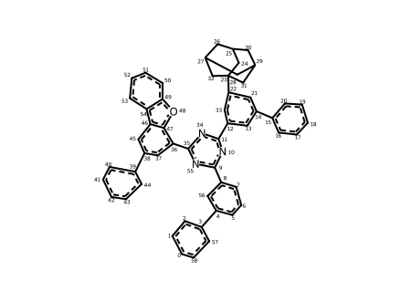 c1ccc(-c2cccc(-c3nc(-c4cc(-c5ccccc5)cc(C56CC7CC(CC(C7)C5)C6)c4)nc(-c4cc(-c5ccccc5)cc5c4oc4ccccc45)n3)c2)cc1